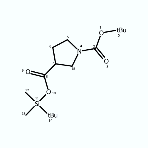 CC(C)(C)OC(=O)N1CCC(C(=O)O[Si](C)(C)C(C)(C)C)C1